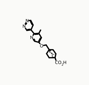 Cc1cc(OCC23CCC(C(=O)O)(CC2)CC3)cnc1-c1ccnnc1